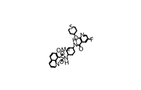 COc1ccc2cccnc2c1S(=O)(=O)NC1CCC(NC(=O)c2cc(F)cnc2OC2CCSCC2)CC1